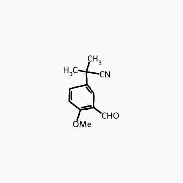 COc1ccc(C(C)(C)C#N)cc1C=O